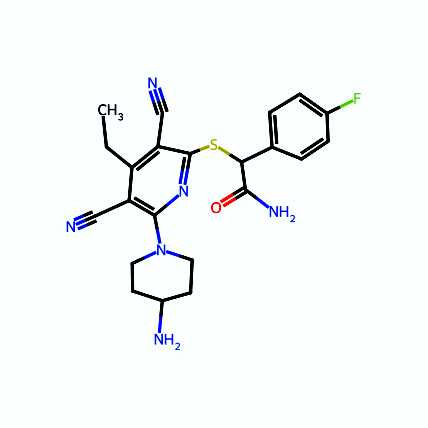 CCc1c(C#N)c(SC(C(N)=O)c2ccc(F)cc2)nc(N2CCC(N)CC2)c1C#N